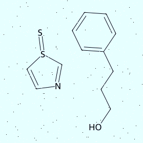 OCCCc1ccccc1.S=S1C=CN=C1